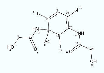 CC(=O)C1(NC(=O)CO)C(I)=CC(I)=C(NC(=O)CO)C1I